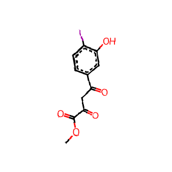 COC(=O)C(=O)CC(=O)c1ccc(I)c(O)c1